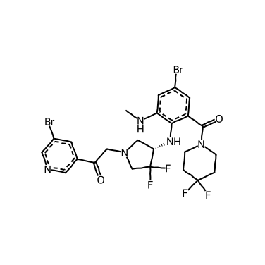 CNc1cc(Br)cc(C(=O)N2CCC(F)(F)CC2)c1N[C@H]1CN(CC(=O)c2cncc(Br)c2)CC1(F)F